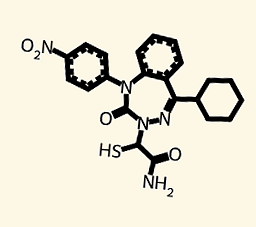 NC(=O)C(S)N1N=C(C2CCCCC2)c2ccccc2N(c2ccc([N+](=O)[O-])cc2)C1=O